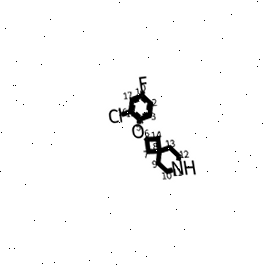 Fc1ccc(OC2CC3(CCNCC3)C2)c(Cl)c1